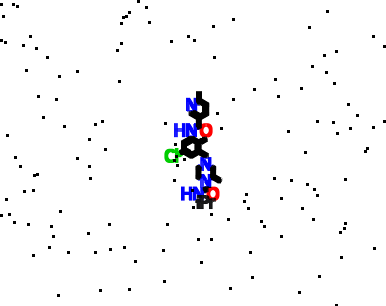 Cc1ccc(C(=O)Nc2cc(Cl)cc(CN3CCN(C(=O)NC(C)C)C(C)C3)c2C)cn1